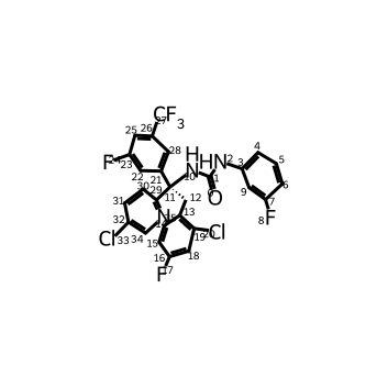 O=C(Nc1cccc(F)c1)N[C@](Cc1ccc(F)cc1Cl)(c1cc(F)cc(C(F)(F)F)c1)c1ccc(Cl)cn1